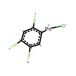 Fc1cc(F)[c]([Mg][Cl])cc1F